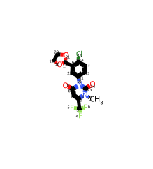 Cn1c(C(F)(F)F)cc(=O)n(-c2ccc(Cl)c(C3OCCO3)c2)c1=O